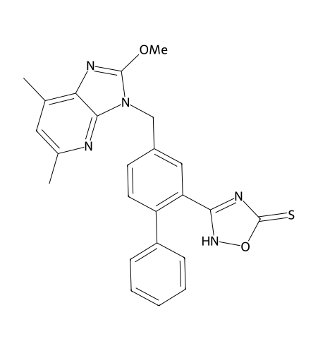 COc1nc2c(C)cc(C)nc2n1Cc1ccc(-c2ccccc2)c(-c2nc(=S)o[nH]2)c1